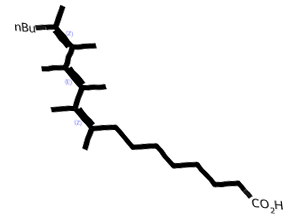 CCCC\C(C)=C(C)/C(C)=C(C)/C(C)=C(/C)CCCCCCCC(=O)O